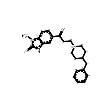 Cn1c(=O)[nH]c2cc(C(=O)CCN3CCC(Cc4ccccc4)CC3)ccc21